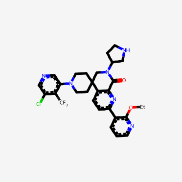 CCOc1ncccc1-c1ccc2c(n1)C(=O)N(C1CCNC1)CC21CCN(c2cncc(Cl)c2C(F)(F)F)CC1